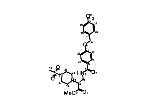 COC(=O)[C@H](CNC(=O)c1ccc(OCc2ccc(C(F)(F)F)cc2)cc1)N1CCN(S(C)(=O)=O)CC1